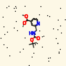 COC(=O)c1ccnc(CNC(=O)OC(C)(C)C)c1